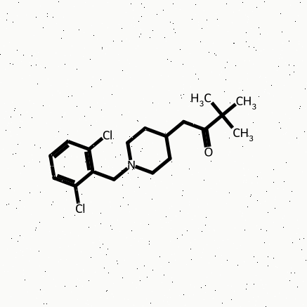 CC(C)(C)C(=O)CC1CCN(Cc2c(Cl)cccc2Cl)CC1